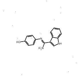 NC(=Nc1ccc(O)cc1)c1c[nH]c2ccccc12